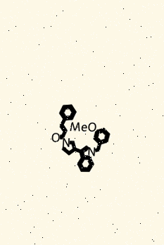 COc1cccc(Cn2cc(C3CCN(C(=O)C=Cc4ccccc4)C3)c3ccccc32)c1